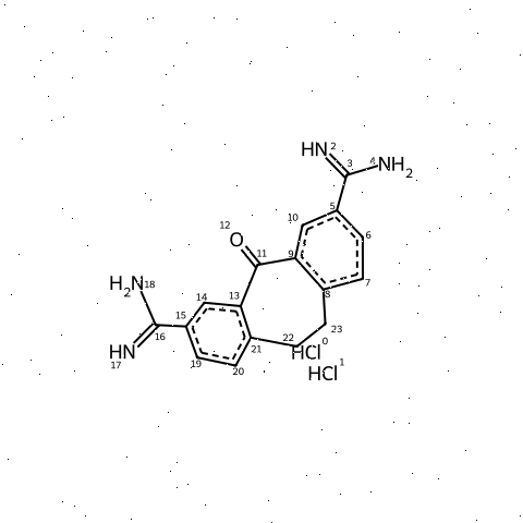 Cl.Cl.N=C(N)c1ccc2c(c1)C(=O)c1cc(C(=N)N)ccc1CC2